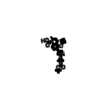 C[C@H]1CCc2c(ccc(-c3cnn(C4CN(C(=O)OC(C)(C)C)C4)c3)c2OC2CCC2)N1C(=O)O